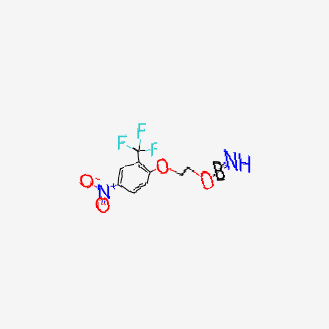 N=BOCCOc1ccc([N+](=O)[O-])cc1C(F)(F)F